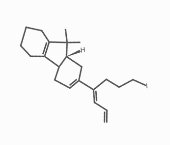 C=C/C=C(\CCCI)C1=CCC2C3=C(CCCC3)C(C)(C)[C@@H]2C1